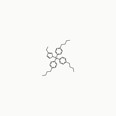 CCCCc1ccc([Si]([C]2C=CC(CC)=C2)(c2ccc(CCCC)cc2)c2ccc(CCCC)cc2)cc1